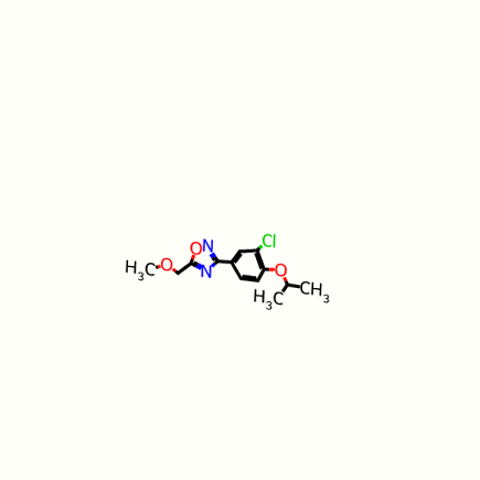 COCc1nc(-c2ccc(OC(C)C)c(Cl)c2)no1